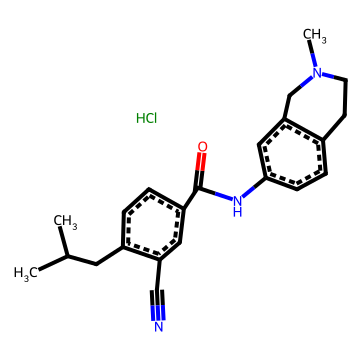 CC(C)Cc1ccc(C(=O)Nc2ccc3c(c2)CN(C)CC3)cc1C#N.Cl